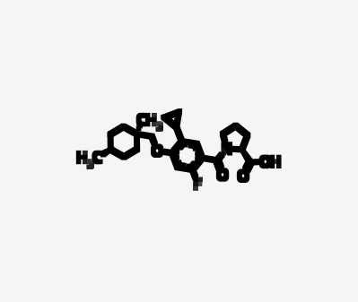 C[C@H]1CC[C@@](C)(COc2cc(F)c(C(=O)N3CCC[C@H]3C(=O)O)cc2C2CC2)CC1